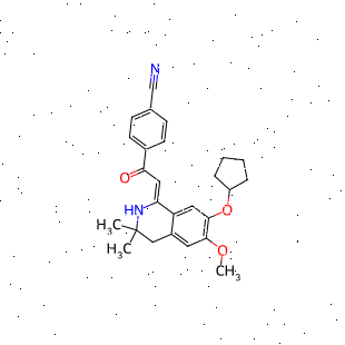 COc1cc2c(cc1OC1CCCC1)/C(=C/C(=O)c1ccc(C#N)cc1)NC(C)(C)C2